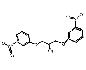 O=[N+]([O-])c1cccc(OCC(O)COc2cccc([N+](=O)[O-])c2)c1